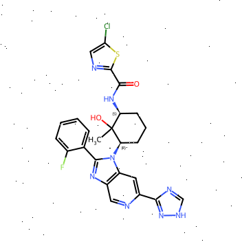 CC1(O)[C@@H](NC(=O)c2ncc(Cl)s2)CCC[C@H]1n1c(-c2ccccc2F)nc2cnc(-c3nc[nH]n3)cc21